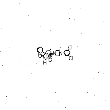 CC(CC1(c2ccccn2)NC(=O)NC1=O)C(=O)N1CCN(c2cc(Cl)cc(Cl)c2)[C@@H](C)C1